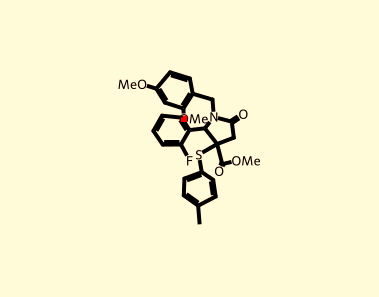 COC(=O)C1(Sc2ccc(C)cc2)CC(=O)N(Cc2ccc(OC)cc2OC)C1c1ccccc1F